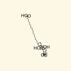 O=C(O)CCCCCCCCCCCCCCCCCc1ccc(N=Nc2cc([N+](=O)[O-])ccc2O)c(O)c1